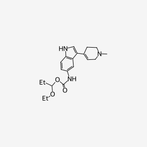 CCOC(CC)OC(=O)Nc1ccc2[nH]cc(C3=CCN(C)CC3)c2c1